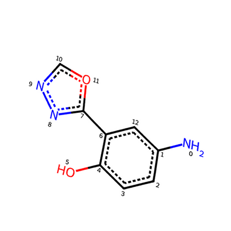 Nc1ccc(O)c(-c2nnco2)c1